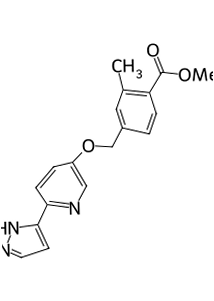 COC(=O)c1ccc(COc2ccc(-c3ccn[nH]3)nc2)cc1C